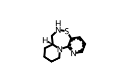 c1cnc2c(c1)SNC[C@H]1CCCCN21